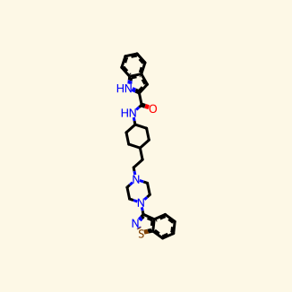 O=C(NC1CCC(CCN2CCN(c3nsc4ccccc34)CC2)CC1)c1cc2ccccc2[nH]1